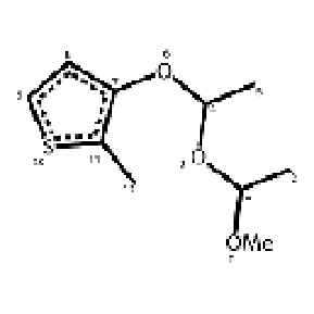 COC(C)OC(C)Oc1ccsc1C